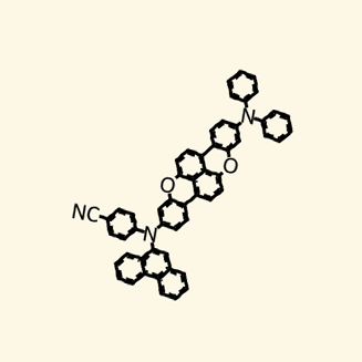 N#Cc1ccc(N(c2ccc3c(c2)Oc2ccc4c5c(ccc-3c25)Oc2cc(N(c3ccccc3)c3ccccc3)ccc2-4)c2cc3ccccc3c3ccccc23)cc1